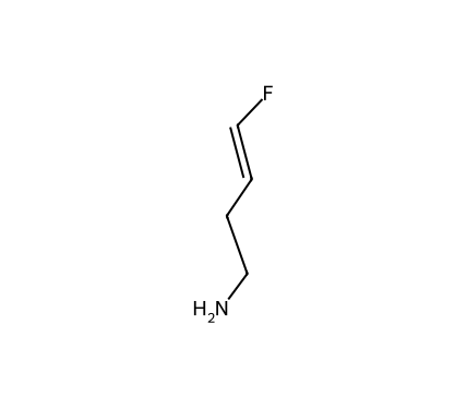 NCCC=CF